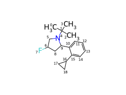 CC(C)(C)N1CC(F)CC1c1ccccc1C1CC1